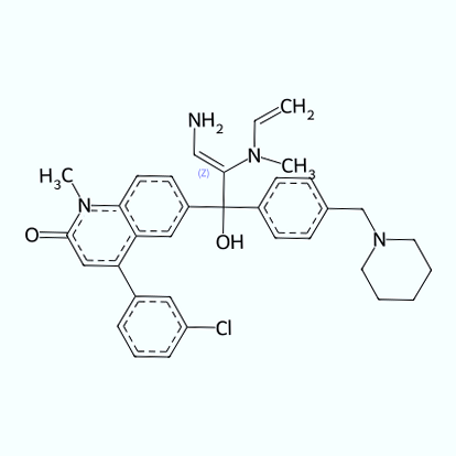 C=CN(C)/C(=C\N)C(O)(c1ccc(CN2CCCCC2)cc1)c1ccc2c(c1)c(-c1cccc(Cl)c1)cc(=O)n2C